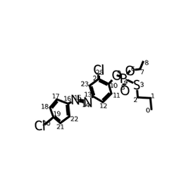 CCCSP(=O)(OCC)Oc1ccc(N=Nc2ccc(Cl)cc2)cc1Cl